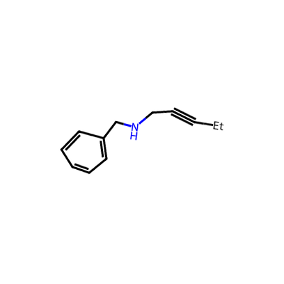 CCC#CCNCc1ccccc1